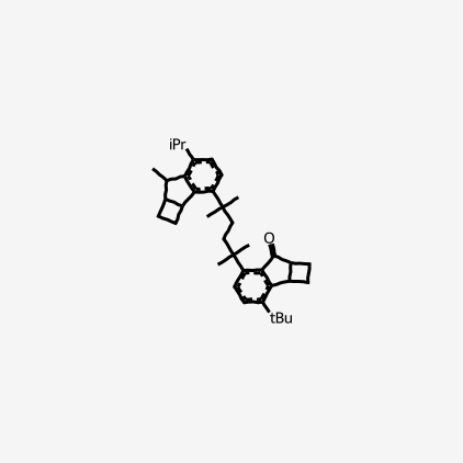 CC(C)c1ccc(C(C)(C)CCC(C)(C)c2ccc(C(C)(C)C)c3c2C(=O)C2CCC32)c2c1C(C)C1CCC21